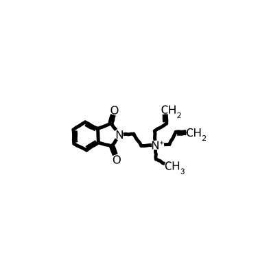 C=CC[N+](CC)(CC=C)CCN1C(=O)c2ccccc2C1=O